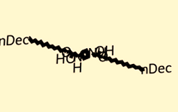 CCCCCCCCCCCCCCCCCCCCCCCOCC(O)CNc1ccc(NCC(O)COCCCCCCCCCCCCCCCCCCCCCCC)cc1